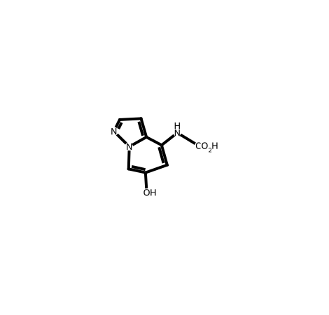 O=C(O)Nc1cc(O)cn2nccc12